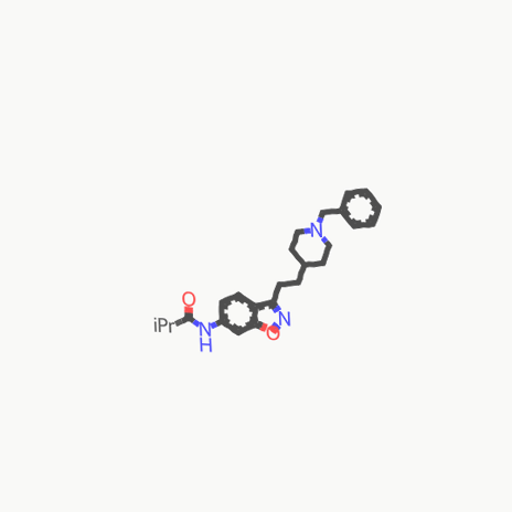 CC(C)C(=O)Nc1ccc2c(CCC3CCN(Cc4ccccc4)CC3)noc2c1